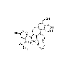 COc1ccc2c(cc1=O)[C@@H](N(C(C)=O)C(=O)[C@H](CC(=O)O)NC(C)=O)CCc1cc(CO)c(CO)c(CO)c1-2